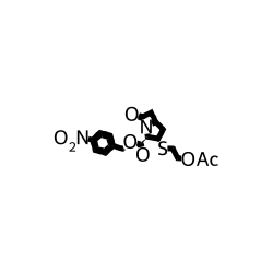 CC(=O)OCCS[C@@H]1CC2CC(=O)N2[C@H]1C(=O)OCc1ccc([N+](=O)[O-])cc1